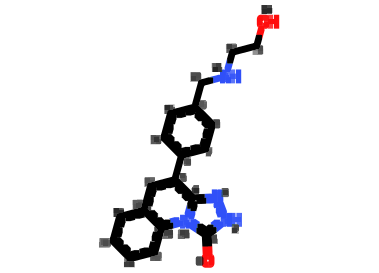 O=c1[nH]nc2c(-c3ccc(CNCCO)cc3)cc3ccccc3n12